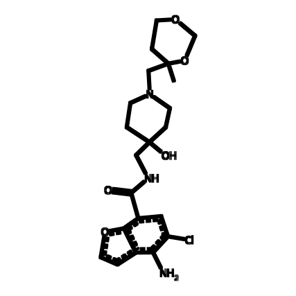 CC1(CN2CCC(O)(CNC(=O)c3cc(Cl)c(N)c4ccoc34)CC2)CCOCO1